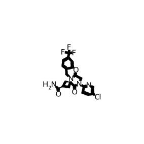 NC(=O)[C@H]1C[C@]2(C1)C(=O)N(c1ccc(Cl)cn1)CC(=O)N2Cc1ccc(C(F)(F)F)cc1